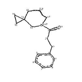 O=C(CCc1ccccc1)N1CCCC2(CC2)C1